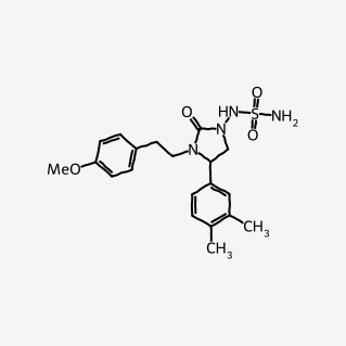 COc1ccc(CCN2C(=O)N(NS(N)(=O)=O)CC2c2ccc(C)c(C)c2)cc1